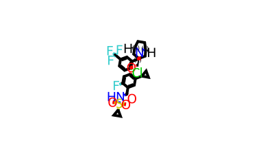 O=C(NS(=O)(=O)C1CC1)c1cc(C2CC2)c(OC[C@H]2C[C@H]3CC[C@@H](C2)N3Cc2cc(C(F)(F)F)ccc2Cl)cc1F